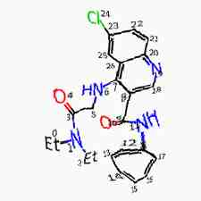 CCN(CC)C(=O)CNc1c(C(=O)Nc2ccccc2)cnc2ccc(Cl)cc12